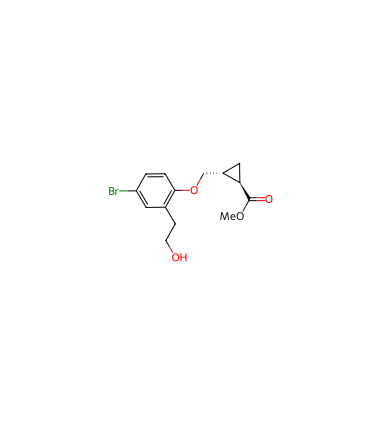 COC(=O)[C@@H]1C[C@H]1COc1ccc(Br)cc1CCO